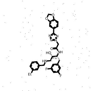 CCc1cccc(CNC[C@H](O)[C@@H](Cc2cc(F)cc(F)c2)NC(=O)Cn2nnc(-c3ccc4c(c3)OCO4)n2)c1